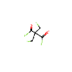 O=C(F)C(CF)(CF)C(=O)F